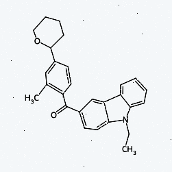 CCn1c2ccccc2c2cc(C(=O)c3ccc(C4CCCCO4)cc3C)ccc21